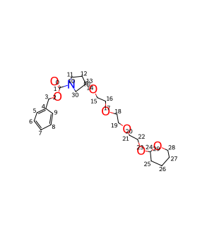 O=C(OCc1ccccc1)N1CC[C@H](OCCOCCOCCOC2CCCCO2)C1